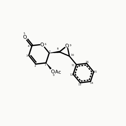 CC(=O)O[C@H]1C=CC(=O)O[C@H]1C1OC1c1ccccc1